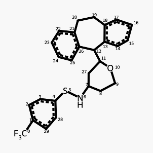 FC(F)(F)c1ccc(SNC2CCOC(C3c4ccccc4CCc4ccccc43)C2)cc1